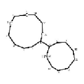 C1CCCCCC(C2CCCCCCCN2)CCCC1